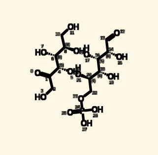 O=C(CO)[C@@H](O)[C@H](O)[C@H](O)CO.O=C[C@H](O)[C@@H](O)[C@H](O)[C@H](O)COP(=O)(O)O